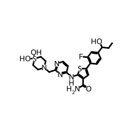 CCC(O)c1ccc(-c2cc(C(N)=O)c(Nc3ccnc(CN4CCS(O)(O)CC4)n3)s2)c(F)c1